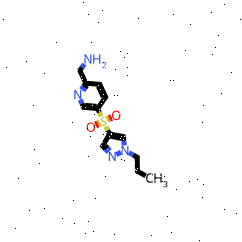 CCCn1cc(S(=O)(=O)c2ccc(CN)nc2)cn1